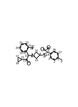 Cc1ccc(S(=O)(=O)SC2CN(C(C(=O)C3CC3)c3ccccc3F)C2)cc1